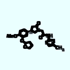 COc1ccc([C@@H]2CC(=O)N(CC(=O)Nc3nc(C)cs3)C2)cc1OC1CCCO1